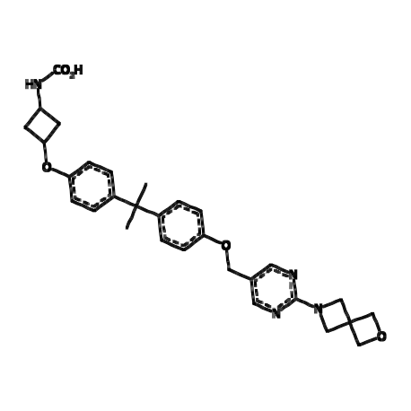 CC(C)(c1ccc(OCc2cnc(N3CC4(COC4)C3)nc2)cc1)c1ccc(OC2CC(NC(=O)O)C2)cc1